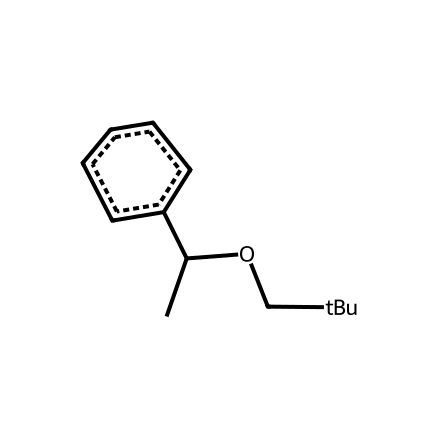 CC(OCC(C)(C)C)c1ccccc1